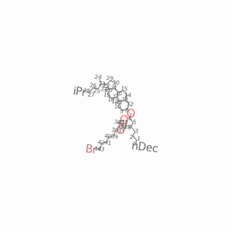 CCCCCCCCCCCCCCCC(OC1CCC2(C)C(=CCC3C2CCC2(C)C(C(C)CCCC(C)C)CCC32)C1)O[Si](C)(C)OCCCCCCBr